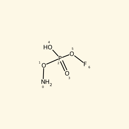 NOP(=O)(O)OF